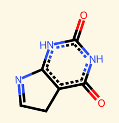 O=c1[nH]c2c(c(=O)[nH]1)CC=N2